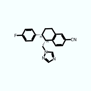 N#Cc1ccc2c(c1)CC[C@@H](c1ccc(F)cc1)[C@H]2Cn1cncn1